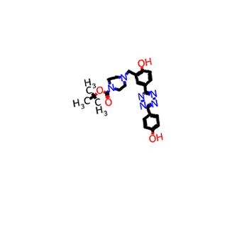 CC(C)(C)OC(=O)N1CCN(Cc2cc(-c3nnc(-c4ccc(O)cc4)nn3)ccc2O)CC1